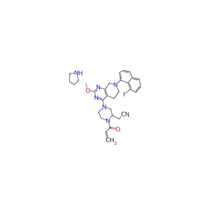 C=CC(=O)N1CCN(c2nc(OC[C@@H]3CCCN3)nc3c2CCN(c2cccc4cccc(I)c24)C3)CC1CC#N